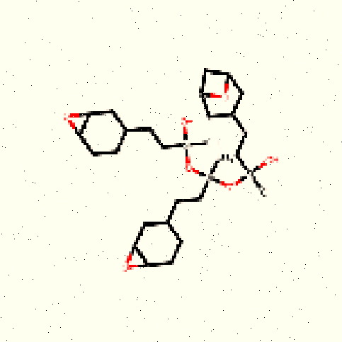 C[Si](O)(CCC1CC2CC(C1)O2)O[Si](C)(CCC1CCC2OC2C1)O[Si](C)(O)CCC1CCC2OC2C1